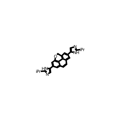 CC(C)c1ncc(-c2cc3c4c(ccc5cc(-c6cnc(C(C)C)[nH]6)cc(c54)OC3)c2)[nH]1